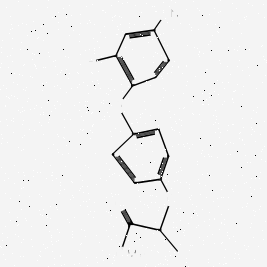 COC(=O)C(C)Oc1ccc(Oc2ccc(C#N)cc2F)cc1